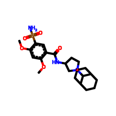 COc1cc(OC)c(S(N)(=O)=O)cc1C(=O)NC1CCN(C2C3CCCC2CCC3)C1